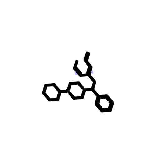 C=C/C=C(\C=C/C)CC(c1ccccc1)N1CCN(C2CCCCC2)CC1